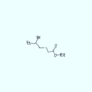 CCOC(=O)CCCC(Br)CC